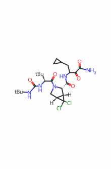 CC(C)(C)NC(=O)N[C@H](C(=O)N1C[C@@H]2[C@H]([C@H]1C(=O)NC(CC1CC1)C(=O)C(N)=O)C2(Cl)Cl)C(C)(C)C